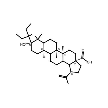 C=C(C)[C@@H]1CC[C@]2(C(=O)O)CC[C@]3(C)C(CCC4[C@@]5(C)CC[C@@](O)(C(C)(CC)CC)C(C)(C)C5CC[C@]43C)C12